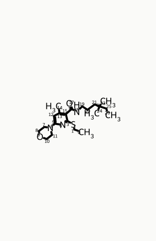 CCSc1nc(N2CCOCC2)cc(C)c1C(=O)NCCCC(C)(C)CC